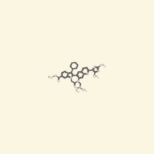 COC(=O)c1ccc2c(C3CCCCC3)c3n(c2c1)CC(=O)N(CN(C)C)c1cc2nc(-c4sc(C)nc4C)ccc2cc1-3